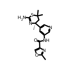 Cc1nc(C(=O)Nc2cncc([C@]3(C)CC(C)(C)SC(N)=N3)c2)co1